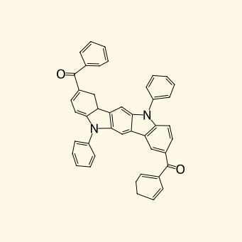 O=C(C1=CCCC=C1)c1ccc2c(c1)c1cc3c(cc1n2-c1ccccc1)C1CC(C(=O)c2ccccc2)=CC=C1N3c1ccccc1